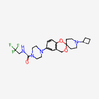 O=C(NCC(F)(F)F)N1CCN(c2ccc3c(c2)COC2(CCN(C4CCC4)CC2)O3)CC1